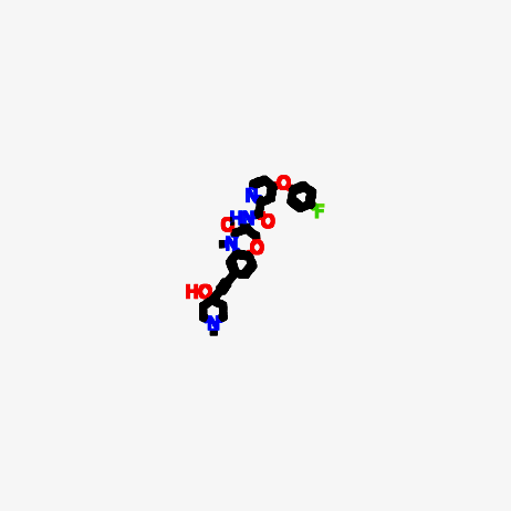 CN1CCC(O)(C#Cc2ccc3c(c2)N(C)C(=O)[C@@H](NC(=O)c2cc(Oc4ccc(F)cc4)ccn2)CO3)CC1